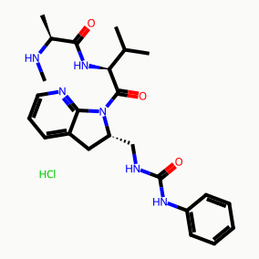 CN[C@@H](C)C(=O)N[C@H](C(=O)N1c2ncccc2C[C@H]1CNC(=O)Nc1ccccc1)C(C)C.Cl